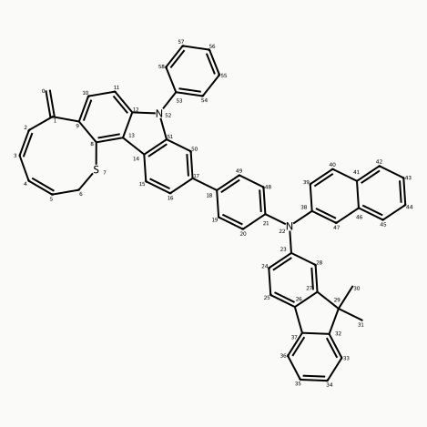 C=C1/C=C\C=C/CSc2c1ccc1c2c2ccc(-c3ccc(N(c4ccc5c(c4)C(C)(C)c4ccccc4-5)c4ccc5ccccc5c4)cc3)cc2n1-c1ccccc1